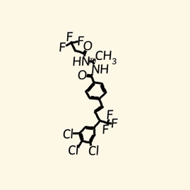 C[C@H](NC(=O)CC(F)(F)F)NC(=O)c1ccc(C=CC(c2cc(Cl)c(Cl)c(Cl)c2)C(F)(F)F)cc1